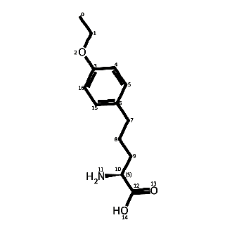 CCOc1ccc(CCC[C@H](N)C(=O)O)cc1